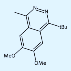 COc1cc2c(C)nnc(C(C)(C)C)c2cc1OC